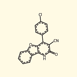 N#Cc1c(-c2ccc(Cl)cc2)c2oc3ccccc3c2[nH]c1=O